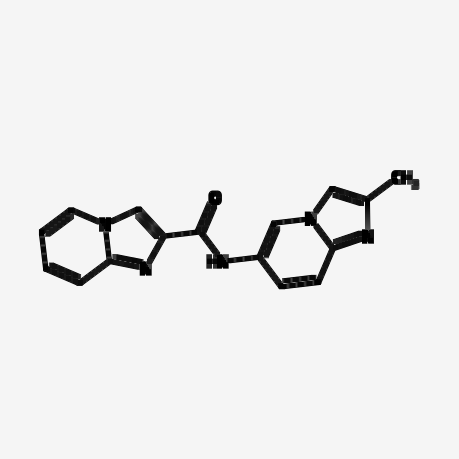 Cc1cn2cc(NC(=O)c3cn4ccccc4n3)ccc2n1